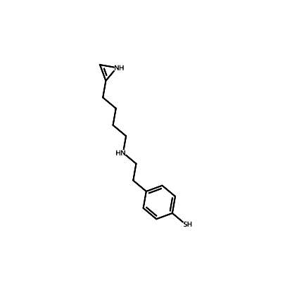 Sc1ccc(CCNCCCCC2=CN2)cc1